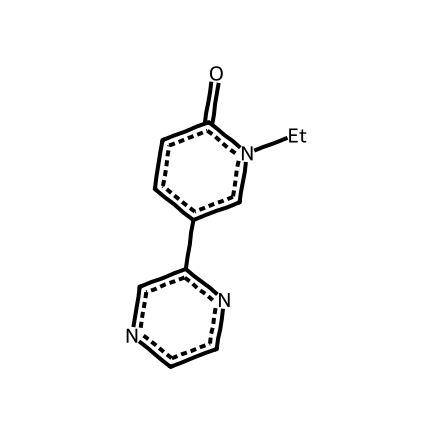 CCn1cc(-c2cnccn2)ccc1=O